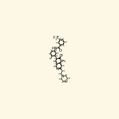 Cc1ccc(NC(=O)c2cccc(C(F)(F)F)c2)cc1-c1cc2cnc(CCN3CCOCC3)cc2n(C)c1=O